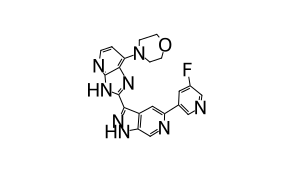 Fc1cncc(-c2cc3c(-c4nc5c(N6CCOCC6)ccnc5[nH]4)n[nH]c3cn2)c1